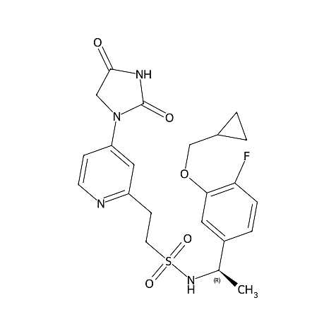 C[C@@H](NS(=O)(=O)CCc1cc(N2CC(=O)NC2=O)ccn1)c1ccc(F)c(OCC2CC2)c1